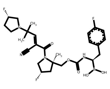 CC(C)(/C=C(\C#N)C(=O)N1C[C@@H](F)C[C@]1(C)COC(=O)N[C@@H](Cc1ccc(F)cc1)B(O)O)N1CC[C@H](F)C1